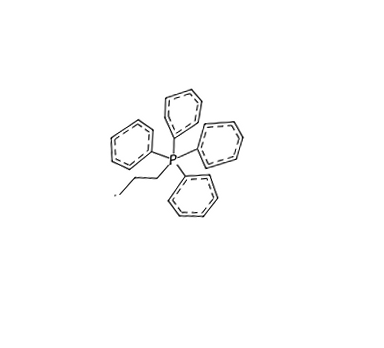 [CH2]CCP(c1ccccc1)(c1ccccc1)(c1ccccc1)c1ccccc1